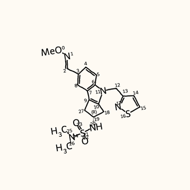 CON=Cc1ccc2c(c1)c1c(n2Cc2ccsn2)C[C@H](NS(=O)(=O)N(C)C)C1